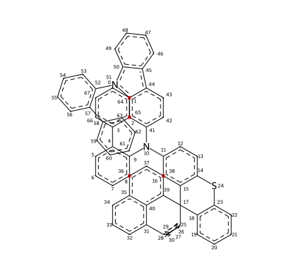 c1ccc(-c2ccccc2N(c2ccc3c(c2)C2(c4ccccc4S3)c3ccccc3-c3cccc4cccc2c34)c2ccc3c4ccccc4n(-c4ccccc4-c4ccccc4)c3c2)cc1